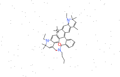 CCCCN(C)C(=O)c1ccccc1C1=c2cc3c(cc2[Si](C)(C)c2cc4c(cc21)C(C)=CC(C)(C)N4CC)=[N+](CC)C(C)(C)C=C3C